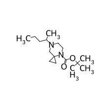 CCCC(C)N1CCN(C(=O)OC(C)(C)C)C2(CC2)C1